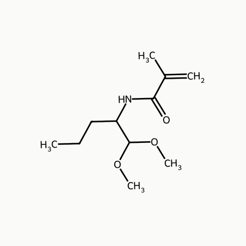 C=C(C)C(=O)NC(CCC)C(OC)OC